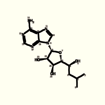 CC(C)C[C@H](O)[C@H]1O[C@@H](n2cnc3c(N)ncnc32)[C@H](O)[C@@H]1O